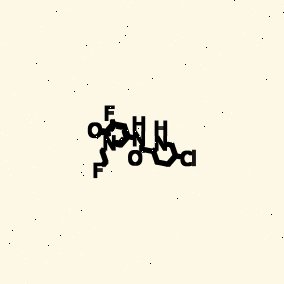 O=C(Nc1cc(F)c(=O)n(CCF)c1)C1CCC(Cl)CN1